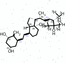 [2H]C([2H])([2H])[C@@H](/C=C/[C@@H](C)[C@H]1CC[C@H]2/C(=C/C=C3/C[C@H](O)C[C@H](O)C3=C)CCC[C@]12C)C(O)(C([2H])([2H])[2H])C([2H])([2H])[2H]